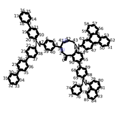 C=C1/C=C(c2ccc(N(c3ccc(-c4ccccc4)cc3)c3ccc(-c4ccc(-c5ccccc5)cc4)cc3)cc2)\C=C/CN(c2ccc3c4ccccc4c4ccccc4c3c2)c2ccc(-c3ccc(N(c4ccccc4)c4cccc5ccccc45)cc3)cc21